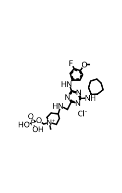 COc1ccc(Nc2nc(CNC3CC[N+](C)(COP(=O)(O)O)CC3)nc(NC3CCCCCC3)n2)cc1F.[Cl-]